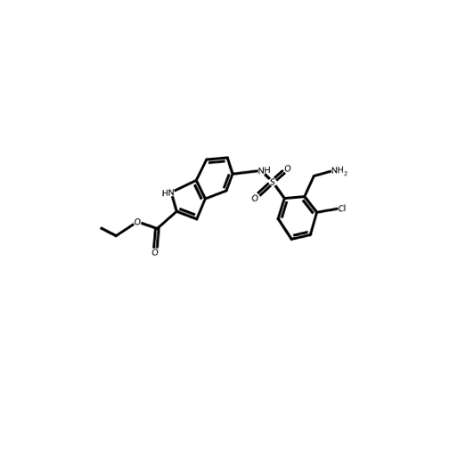 CCOC(=O)c1cc2cc(NS(=O)(=O)c3cccc(Cl)c3CN)ccc2[nH]1